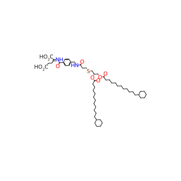 O=C(O)CC[C@H](NC(=O)c1ccc(CNC(=O)CCSCC(COC(=O)CCCCCCCCCCCC2CCCCC2)OC(=O)CCCCCCCCCCCC2CCCCC2)cc1)C(=O)O